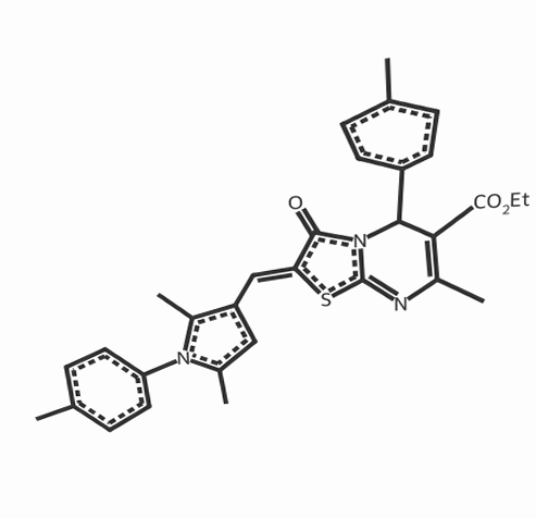 CCOC(=O)C1=C(C)N=c2s/c(=C\c3cc(C)n(-c4ccc(C)cc4)c3C)c(=O)n2C1c1ccc(C)cc1